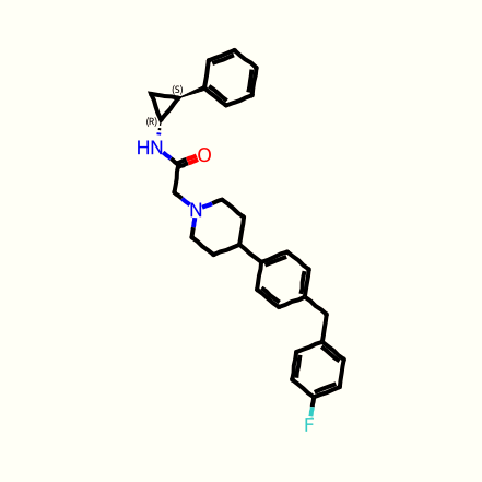 O=C(CN1CCC(c2ccc(Cc3ccc(F)cc3)cc2)CC1)N[C@@H]1C[C@H]1c1ccccc1